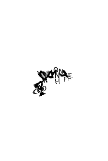 N[N+]12C=CN=CC1=C(C1CCCN(S(=O)(=O)C3CC3)C1)N=C2c1ccc(C(=O)Nc2cc(C(F)(F)F)ccn2)cc1